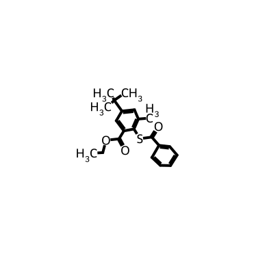 CCOC(=O)c1cc(C(C)(C)C)cc(C)c1SC(=O)c1ccccc1